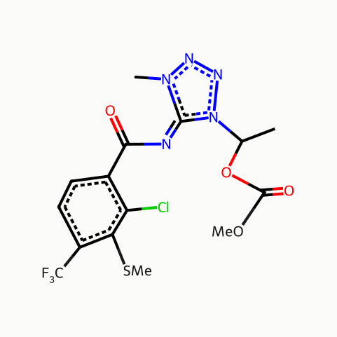 COC(=O)OC(C)n1nnn(C)c1=NC(=O)c1ccc(C(F)(F)F)c(SC)c1Cl